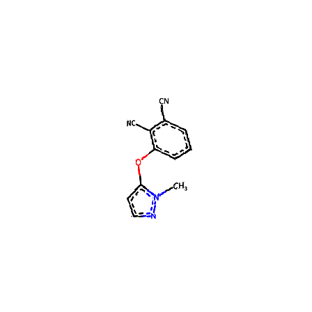 Cn1n[c]cc1Oc1cccc(C#N)c1C#N